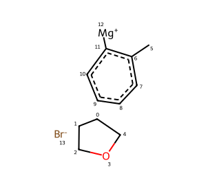 C1CCOC1.Cc1cccc[c]1[Mg+].[Br-]